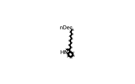 CCCCCCCCCCCCCCCCCCCc1c[nH]c2ccccc12